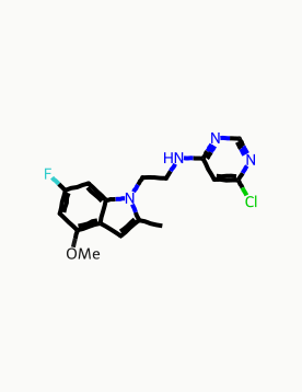 COc1cc(F)cc2c1cc(C)n2CCNc1cc(Cl)ncn1